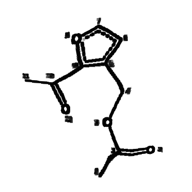 CC(=O)OCc1ccoc1C(C)=O